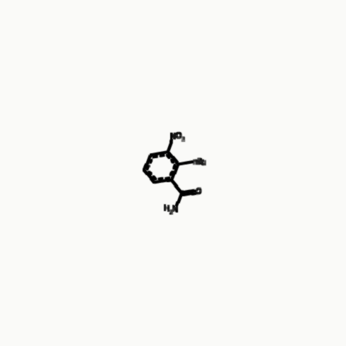 CCCCc1c(C(N)=O)cccc1[N+](=O)[O-]